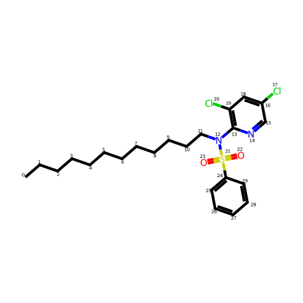 CCCCCCCCCCCCN(c1ncc(Cl)cc1Cl)S(=O)(=O)c1ccccc1